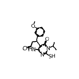 COc1cccc(C2CC(=O)Nc3nc(S)n(C(C)C)c(=O)c32)c1